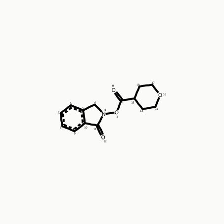 O=C(ON1Cc2ccccc2C1=O)C1CCOCC1